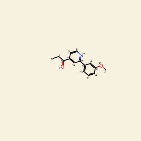 CCC(=O)c1ccnc(-c2cccc(OC)c2)c1